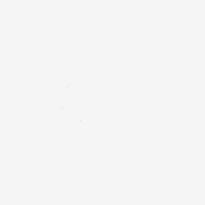 [O]CCCCCS(=O)(=O)c1ncc[nH]1